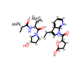 CN[C@@H](C)C(=O)N[C@H](C(=O)N1C[C@@H](O)C[C@H]1CCc1cn(C(=O)C2CCC(=O)O2)c2ncccc12)[C@@H](C)OC